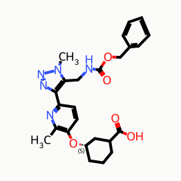 Cc1nc(-c2nnn(C)c2CNC(=O)OCc2ccccc2)ccc1O[C@H]1CCCC(C(=O)O)C1